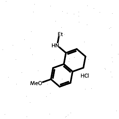 CCNC1=CCCc2ccc(OC)cc21.Cl